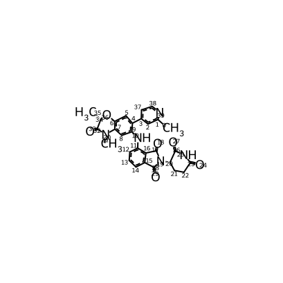 Cc1cc(-c2cc3c(cc2Nc2cccc4c2C(=O)N([C@H]2CCC(=O)NC2=O)C4=O)N(C)C(=O)[C@H](C)O3)ccn1